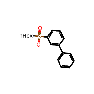 CCCCCCS(=O)(=O)c1cccc(-c2ccccc2)c1